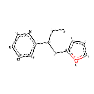 CCC([CH]c1ccco1)c1ccccc1